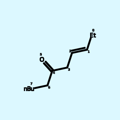 CCC=CCC(=O)CCCCC